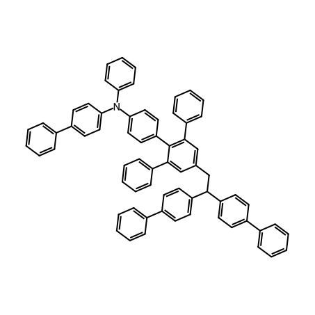 c1ccc(-c2ccc(C(Cc3cc(-c4ccccc4)c(-c4ccc(N(c5ccccc5)c5ccc(-c6ccccc6)cc5)cc4)c(-c4ccccc4)c3)c3ccc(-c4ccccc4)cc3)cc2)cc1